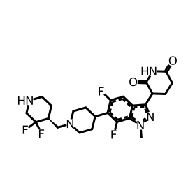 Cn1nc(C2CCC(=O)NC2=O)c2cc(F)c(C3CCN(C[C@@H]4CCNCC4(F)F)CC3)c(F)c21